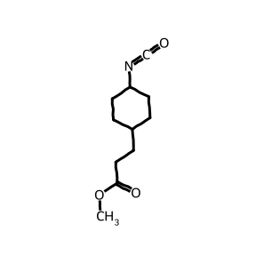 COC(=O)CCC1CCC(N=C=O)CC1